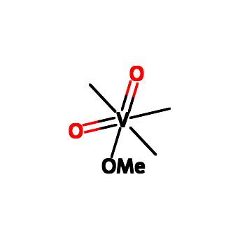 C[O][V]([CH3])([CH3])([CH3])(=[O])=[O]